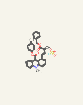 C=C(C=Cc1cccc2c1c(C(=O)Oc1ccc(C)cc1)c1ccccc1[n+]2C)C(=O)OCc1ccccc1.O=S(=O)([O-])F